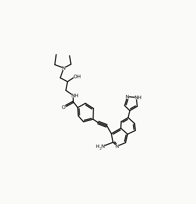 CCN(CC)CC(O)CNC(=O)c1ccc(C#Cc2c(N)ncc3ccc(-c4cn[nH]c4)cc23)cc1